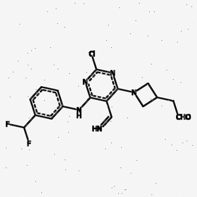 N=Cc1c(Nc2cccc(C(F)F)c2)nc(Cl)nc1N1CC(CC=O)C1